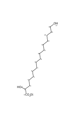 CCOC(=O)C(O)CCCCCCCCCCCCCCO